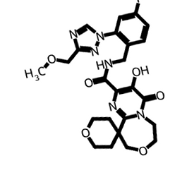 COCc1ncn(-c2cc(F)ccc2CNC(=O)c2nc3n(c(=O)c2O)CCOCC32CCOCC2)n1